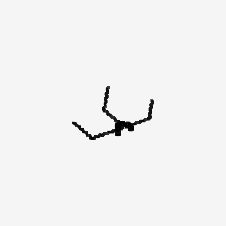 CCCCCCC/C=C\CCCCCCCC(=O)OC[C@H](COC(=O)CCCCCCCCC/C=C\CCCCCCCCCC)OC(=O)CCCCCCC/C=C\CCCCCCCCC